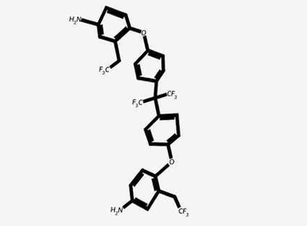 Nc1ccc(Oc2ccc(C(c3ccc(Oc4ccc(N)cc4CC(F)(F)F)cc3)(C(F)(F)F)C(F)(F)F)cc2)c(CC(F)(F)F)c1